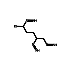 CCC(CCC(CN=N)N=N)N=N